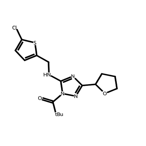 CC(C)(C)C(=O)n1nc(C2CCCO2)nc1NCc1ccc(Cl)s1